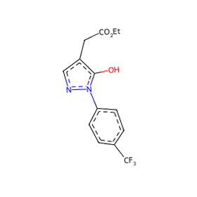 CCOC(=O)Cc1cnn(-c2ccc(C(F)(F)F)cc2)c1O